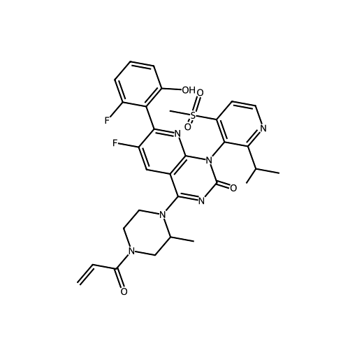 C=CC(=O)N1CCN(c2nc(=O)n(-c3c(S(C)(=O)=O)ccnc3C(C)C)c3nc(-c4c(O)cccc4F)c(F)cc23)C(C)C1